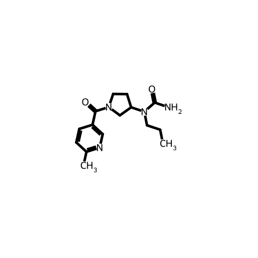 CCCN(C(N)=O)C1CCN(C(=O)c2ccc(C)nc2)C1